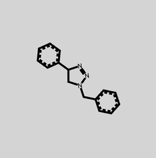 c1ccc(CN2CC(c3ccccc3)N=N2)cc1